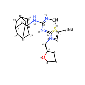 CC(C)(C)c1cn(C[C@H]2CCCO2)/c(=N/C(=NC#N)NC23CC4CC(CC(C4)C2)C3)s1